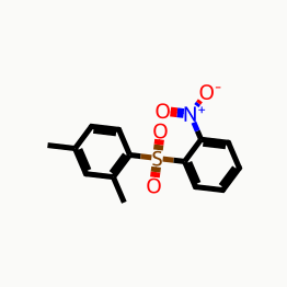 Cc1ccc(S(=O)(=O)c2ccccc2[N+](=O)[O-])c(C)c1